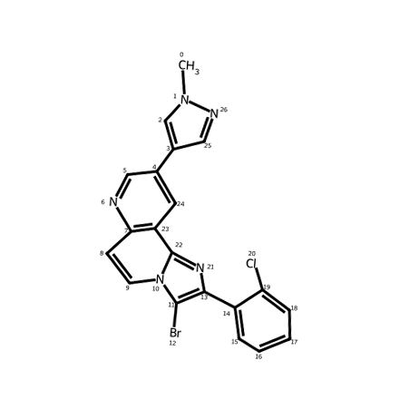 Cn1cc(-c2cnc3ccn4c(Br)c(-c5ccccc5Cl)nc4c3c2)cn1